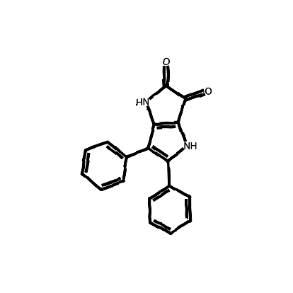 O=C1Nc2c([nH]c(-c3ccccc3)c2-c2ccccc2)C1=O